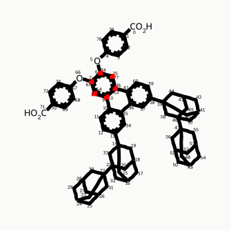 O=C(O)c1ccc(Oc2ccc(-c3ccc(C45CC6CC(C4)CC(C47CC8CC(CC(C8)C4)C7)(C6)C5)cc3-c3cc(C45CC6CC(C4)CC(C47CC8CC(CC(C8)C4)C7)(C6)C5)ccc3-c3ccc(Oc4ccc(C(=O)O)cc4)cc3)cc2)cc1